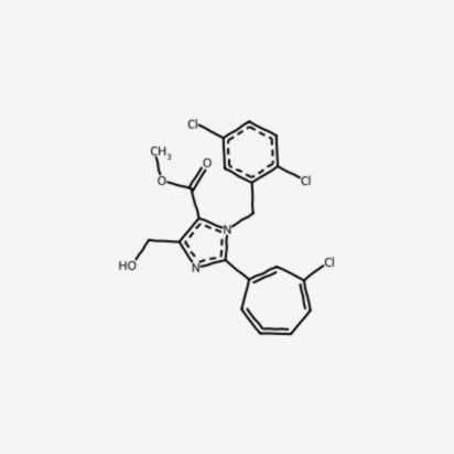 COC(=O)c1c(CO)nc(C2=CC(Cl)=CC=C=C2)n1Cc1cc(Cl)ccc1Cl